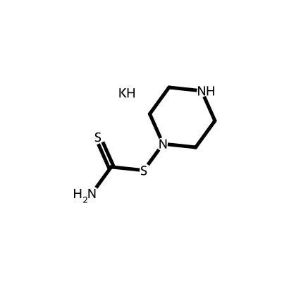 NC(=S)SN1CCNCC1.[KH]